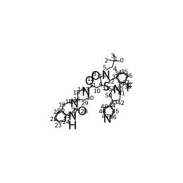 CC(C)(C)CCN1C(=O)[C@H](CC(=O)N2CCC(N3CCc4ccccc4NC3=O)CC2)SC1c1cccc(F)c1N1CCC(c2ccncc2)CC1